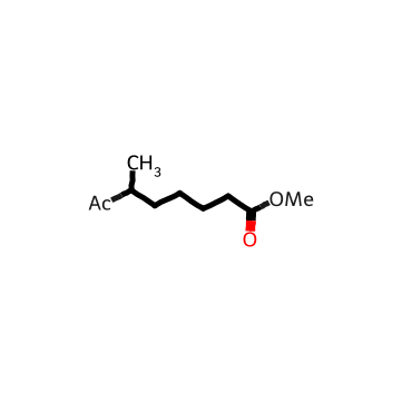 COC(=O)CCCCC(C)C(C)=O